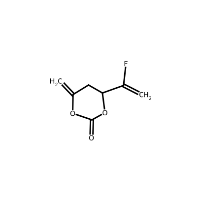 C=C1CC(C(=C)F)OC(=O)O1